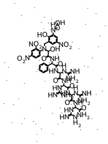 N=C(N)NC(NC(=O)C(NC(=N)N)NC(=O)C(NC(=N)N)NC(=O)C(NC(=N)N)NC(=O)C(NC(=O)C(O)N(Cc1cc([N+](=O)[O-])cc(NOO)c1O)c1ccc([N+](=O)[O-])cc1[N+](=O)[O-])c1ccccc1)C(N)=O